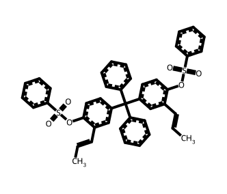 CC=Cc1cc(C(c2ccccc2)(c2ccccc2)c2ccc(OS(=O)(=O)c3ccccc3)c(C=CC)c2)ccc1OS(=O)(=O)c1ccccc1